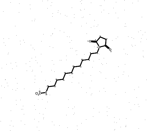 O=C1CCC(=O)N1CCCCCCCCCCCCSC(Cl)(Cl)Cl